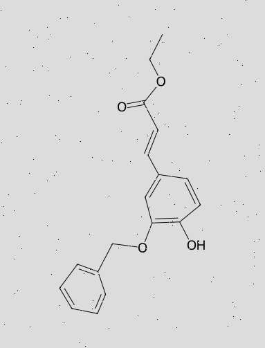 CCOC(=O)C=Cc1ccc(O)c(OCc2ccccc2)c1